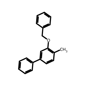 Cc1ccc(-c2ccccc2)cc1OCc1ccccc1